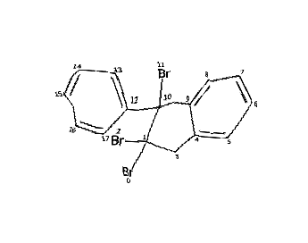 BrC1(Br)Cc2ccccc2C1(Br)c1ccccc1